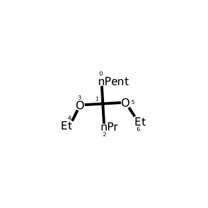 CCCCCC(CCC)(OCC)OCC